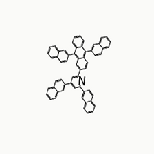 c1ccc2cc(-c3cc(-c4ccc5ccccc5c4)nc(-c4ccc5c(-c6ccc7ccccc7c6)c6ccccc6c(-c6ccc7ccccc7c6)c5c4)c3)ccc2c1